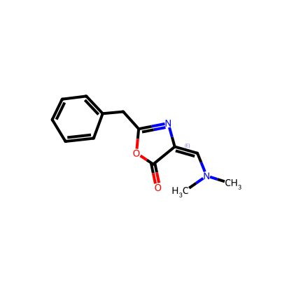 CN(C)/C=C1/N=C(Cc2ccccc2)OC1=O